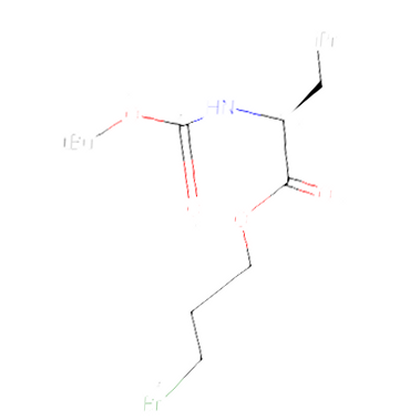 CC(C)C[C@H](NC(=O)OC(C)(C)C)C(=O)OCCCBr